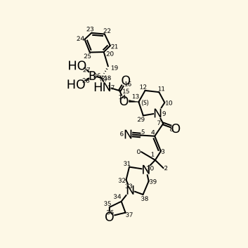 CC(C)(C=C(C#N)C(=O)N1CCC[C@H](OC(=O)N[C@@H](Cc2ccccc2)B(O)O)C1)N1CCN(C2COC2)CC1